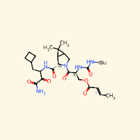 C/C=C/C(=O)OC[C@H](NC(=O)NC(C)(C)C)C(=O)N1CC2C([C@H]1C(=O)NC(CC1CCC1)C(=O)C(N)=O)C2(C)C